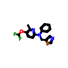 Cc1nc(N(Cc2cncs2)c2ccccc2)ccc1OC(F)F